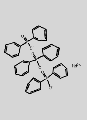 O=P([O-])(c1ccccc1)c1ccccc1.O=P([O-])(c1ccccc1)c1ccccc1.O=P([O-])(c1ccccc1)c1ccccc1.[Nd+3]